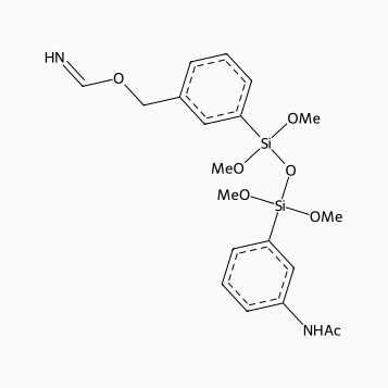 CO[Si](OC)(O[Si](OC)(OC)c1cccc(NC(C)=O)c1)c1cccc(COC=N)c1